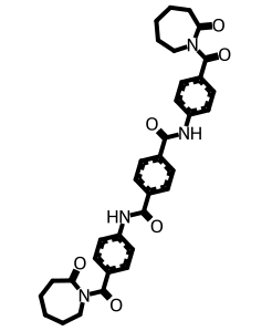 O=C(Nc1ccc(C(=O)N2CCCCCC2=O)cc1)c1ccc(C(=O)Nc2ccc(C(=O)N3CCCCCC3=O)cc2)cc1